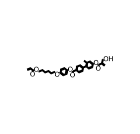 C=CC(=O)OCCCCCCOc1ccc(OC(=O)c2ccc(-c3ccc(OC(=O)C(=C)CO)cc3C)cc2)cc1